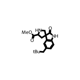 COC(=O)C1CC2(CN1)C(=O)Nc1ccc(CC(C)(C)C)cc12